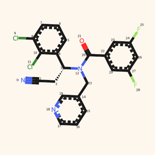 N#CC[C@H](c1cccc(Cl)c1Cl)N(Cc1cccnc1)C(=O)c1cc(F)cc(F)c1